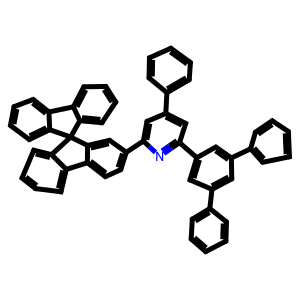 c1ccc(-c2cc(-c3ccccc3)cc(-c3cc(-c4ccccc4)cc(-c4ccc5c(c4)C4(c6ccccc6-c6ccccc64)c4ccccc4-5)n3)c2)cc1